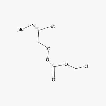 CCC(C)CC(CC)COOC(=O)OCCl